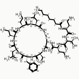 CCCCCCCC(=O)N[C@@H](CCN)C(=O)N[C@H](C(=O)N[C@@H](CCN)C(=O)N[C@H]1CCNC(=O)[C@H](CC(C)C)NC(=O)[C@H](CCN)NC(=O)[C@H](CCN)NC(=O)[C@H](CC(C)C)NC(=O)[C@@H](Cc2ccccc2)NC(=O)[C@H](CO)NC1=O)[C@@H](C)O